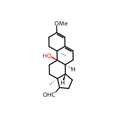 COC1=CC2=CC[C@H]3[C@@H]4CCC(C=O)[C@@]4(C)CC[C@]3(O)[C@@]2(C)CC1